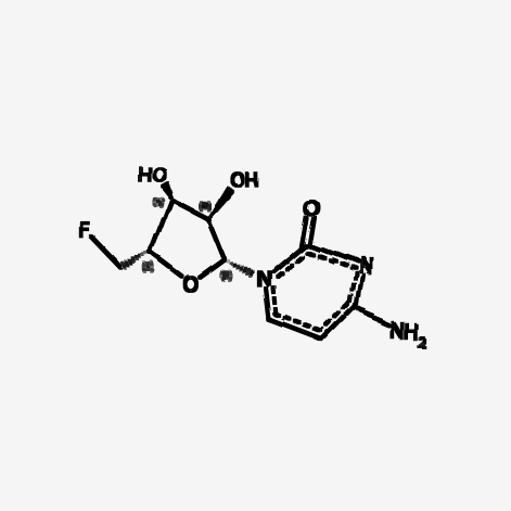 Nc1ccn([C@@H]2O[C@H](CF)[C@@H](O)[C@H]2O)c(=O)n1